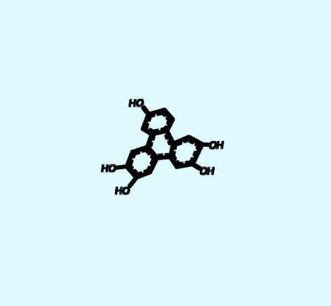 Oc1ccc2c(c1)c1cc(O)c(O)cc1c1cc(O)c(O)cc21